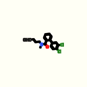 CN(CCCC=O)C(=O)c1ccccc1-c1ccc(Cl)c(Cl)c1